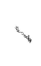 CCC[Si@H]1CC[C@H]([C@H]2CC[C@H](COc3ccc(OC(F)(F)F)c(F)c3)CC2)CC1